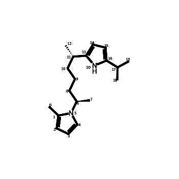 Cc1cccn1[C@H](C)CCC[C@H](C)c1ccc(C(C)C)[nH]1